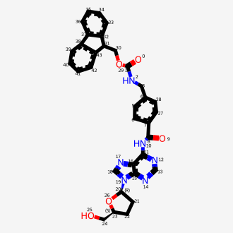 O=C(NCc1ccc(C(=O)Nc2ncnc3c2ncn3[C@H]2CC[C@@H](CO)O2)cc1)OCC1c2ccccc2-c2ccccc21